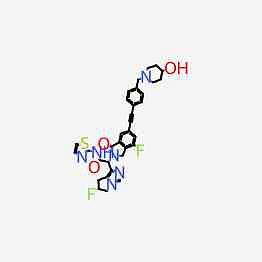 O=C(Nc1nccs1)C(c1ncn2c1C[C@@H](F)C2)N1Cc2c(F)cc(C#Cc3ccc(CN4CCC(O)CC4)cc3)cc2C1=O